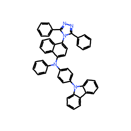 c1ccc(-c2nnc(-c3ccccc3)n2-c2ccc(N(c3ccccc3)c3ccc(-n4c5ccccc5c5ccccc54)cc3)c3ccccc23)cc1